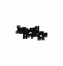 Cc1nc(S(=O)(=O)Nc2cccc(F)n2)c(F)cc1NC(=O)OC(C)(C)C